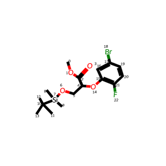 COC(=O)C(CO[Si](C)(C)C(C)(C)C)Oc1cc(Br)ccc1F